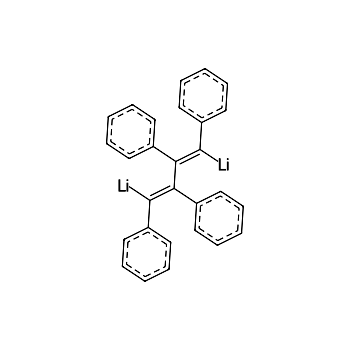 [Li][C](=C(C(=[C]([Li])c1ccccc1)c1ccccc1)c1ccccc1)c1ccccc1